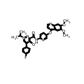 COc1cc2nccc(Oc3ccc(NC(=O)c4nn(C(C)C)cc(-c5ccc(F)cc5)c4=O)nc3)c2cc1OC